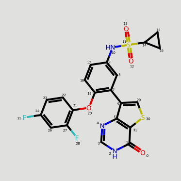 O=c1[nH]cnc2c(-c3cc(NS(=O)(=O)C4CC4)ccc3Oc3ccc(F)cc3F)csc12